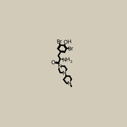 CN1CCC(N2CCN(C(=O)[C@H](N)Cc3cc(Br)c(O)c(Br)c3)CC2)CC1